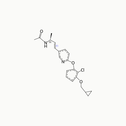 CC(=O)N[C@@H](C)/C=C/c1ccc(Oc2cccc(OCC3CC3)c2Cl)nc1